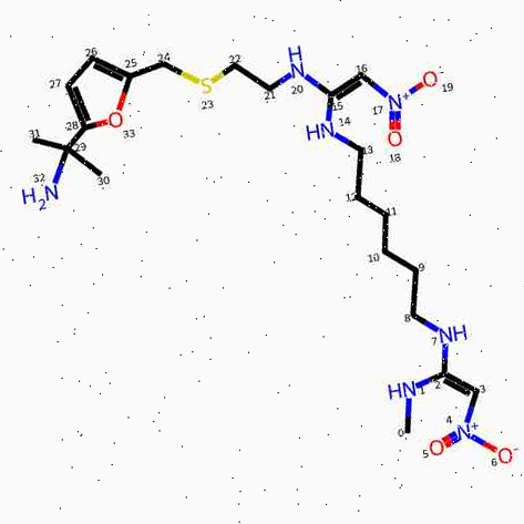 CN/C(=C\[N+](=O)[O-])NCCCCCCN/C(=C\[N+](=O)[O-])NCCSCc1ccc(C(C)(C)N)o1